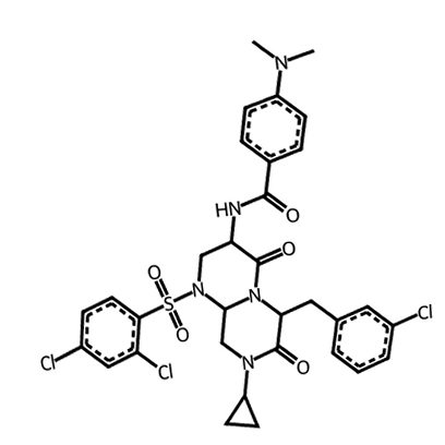 CN(C)c1ccc(C(=O)NC2CN(S(=O)(=O)c3ccc(Cl)cc3Cl)C3CN(C4CC4)C(=O)C(Cc4cccc(Cl)c4)N3C2=O)cc1